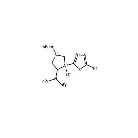 CCCCCN1CC(N(CCC)CCC)[N+]([O-])(c2nnc(CC)s2)C1